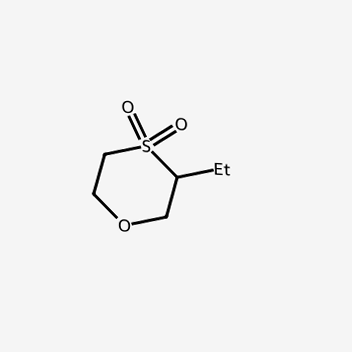 CCC1COCCS1(=O)=O